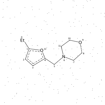 CCc1ccc(CN2CCOCC2)o1